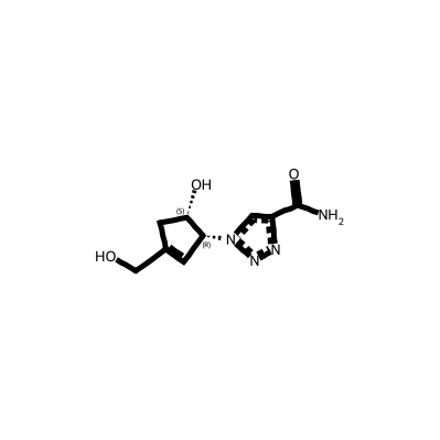 NC(=O)c1cn([C@@H]2C=C(CO)C[C@@H]2O)nn1